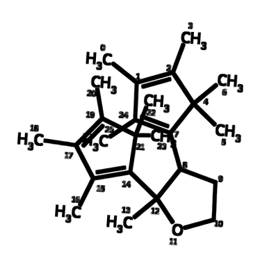 CC1=C(C)C(C)(C)C(C2CCOC2(C)C2=C(C)C(C)=C(C)C2(C)C)=C1C